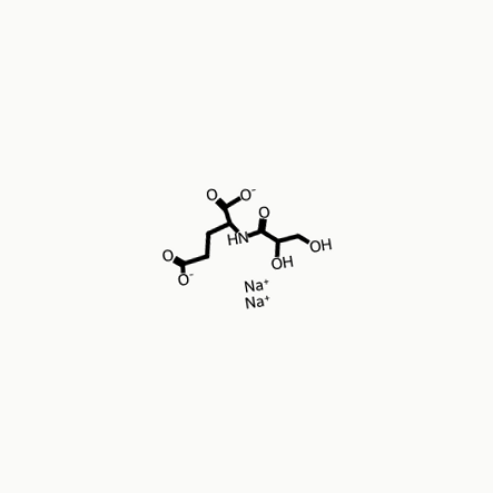 O=C([O-])CCC(NC(=O)C(O)CO)C(=O)[O-].[Na+].[Na+]